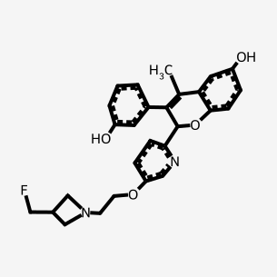 CC1=C(c2cccc(O)c2)C(c2ccc(OCCN3CC(CF)C3)cn2)Oc2ccc(O)cc21